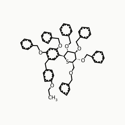 CCOc1ccc(Cc2cc([C@@H]3S[C@H](COCc4ccccc4)[C@@H](OCc4ccccc4)[C@H](OCc4ccccc4)[C@H]3OCc3ccccc3)c(OCc3ccccc3)cc2OCc2ccccc2)cc1